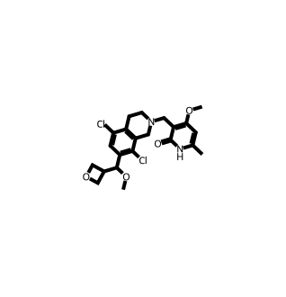 COc1cc(C)[nH]c(=O)c1CN1CCc2c(Cl)cc(C(OC)C3COC3)c(Cl)c2C1